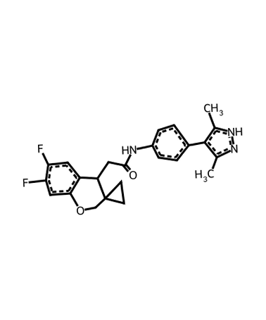 Cc1n[nH]c(C)c1-c1ccc(NC(=O)CC2c3cc(F)c(F)cc3OCC23CC3)cc1